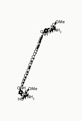 COCCOc1nc(N)c2nc(O)n(Cc3ccc(C(=O)NCCOCOCOCOCOCOCOCOCOCOCOCOCOCOCOCOCOCOCCNC(=O)c4ccc(Cn5c(O)nc6c(N)nc(OCCOC)nc65)cc4)cc3)c2n1